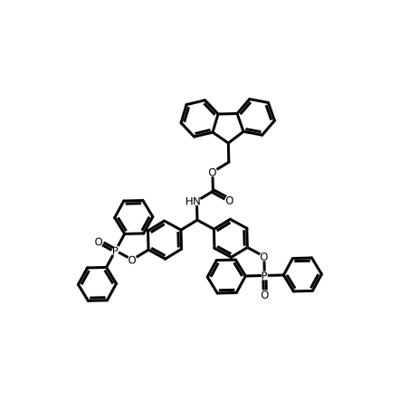 O=C(NC(c1ccc(OP(=O)(c2ccccc2)c2ccccc2)cc1)c1ccc(OP(=O)(c2ccccc2)c2ccccc2)cc1)OCC1c2ccccc2-c2ccccc21